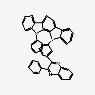 c1ccc(-c2nc3ccccc3nc2-c2cccc(-n3c4ccccc4c4ccc5c6ccccc6n(-c6ccccc6)c5c43)c2)cc1